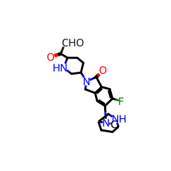 O=CC(=O)C1CCC(N2Cc3cc(N4CC5CCC4CN5)c(F)cc3C2=O)CN1